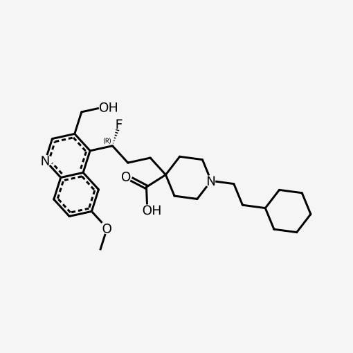 COc1ccc2ncc(CO)c([C@H](F)CCC3(C(=O)O)CCN(CCC4CCCCC4)CC3)c2c1